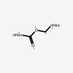 [CH2]CCCCCC(=O)OCCCCCCC